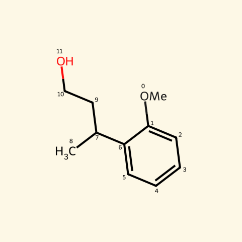 COc1ccccc1C(C)CCO